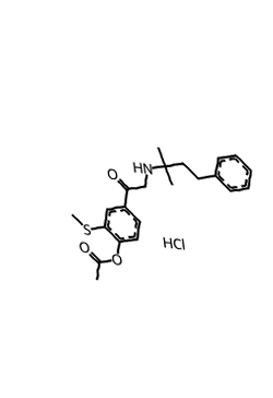 CSc1cc(C(=O)CNC(C)(C)CCc2ccccc2)ccc1OC(C)=O.Cl